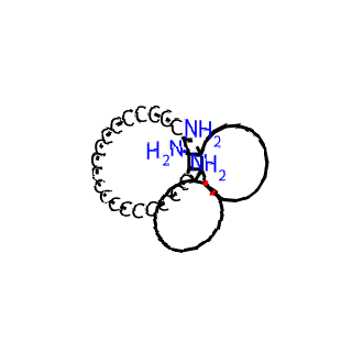 CC1(N)CCCCCCCCCCCCCCCCCCCC2(N)C1(N)C1(C)CCCCCCCCCCCCCCCC12C1(C)CCCCCCCCCCCCCCC1